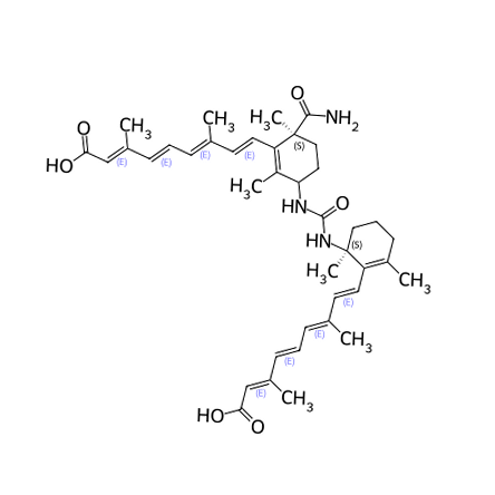 CC1=C(/C=C/C(C)=C/C=C/C(C)=C/C(=O)O)[C@@](C)(NC(=O)NC2CC[C@](C)(C(N)=O)C(/C=C/C(C)=C/C=C/C(C)=C/C(=O)O)=C2C)CCC1